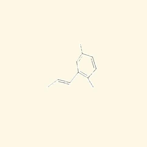 CC=Cc1cc(C)ccc1C